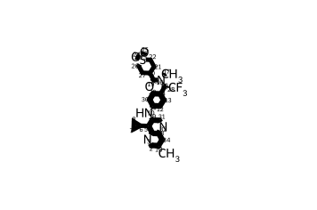 Cc1cnc2c(C3CC3)c(Nc3ccc([C@H](N(C)C(=O)C4CCS(=O)(=O)CC4)C(F)(F)F)cc3)cnc2c1